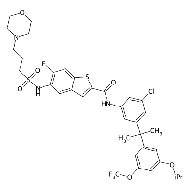 CC(C)Oc1cc(OC(F)(F)F)cc(C(C)(C)c2cc(Cl)cc(NC(=O)c3cc4cc(NS(=O)(=O)CCCN5CCOCC5)c(F)cc4s3)c2)c1